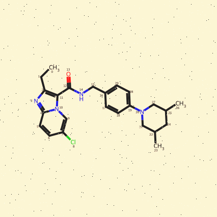 CCc1nc2ccc(Cl)cn2c1C(=O)NCc1ccc(N2CC(C)CC(C)C2)cc1